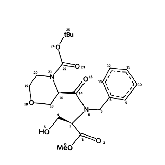 COC(=O)[C@@H](CO)N(Cc1ccccc1)C(=O)[C@H]1COCCN1C(=O)OC(C)(C)C